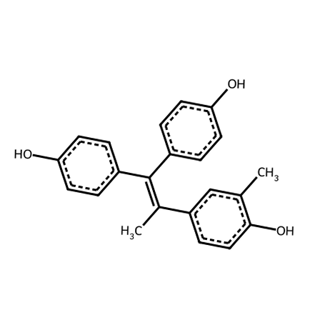 CC(=C(c1ccc(O)cc1)c1ccc(O)cc1)c1ccc(O)c(C)c1